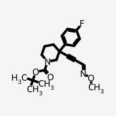 CON=CC#CC1(c2ccc(F)cc2)CCCN(C(=O)OC(C)(C)C)C1